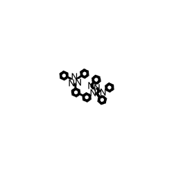 c1ccc(-c2nc(-c3ccccc3)nc(-c3cccc(-c4cccc(-n5c6c7ccccc7n(-c7ccccc7)c6n6c7ccccc7nc56)c4)c3)n2)cc1